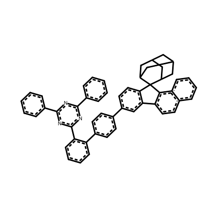 c1ccc(-c2nc(-c3ccccc3)nc(-c3ccccc3-c3ccc(-c4ccc5c(c4)-c4ccc6ccccc6c4C54C5CC6CC(C5)CC4C6)cc3)n2)cc1